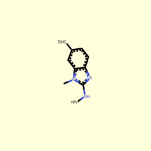 CCCNc1nc2ccc(C=O)cc2n1C